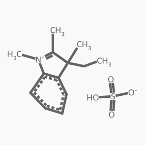 CCC1(C)C(C)=[N+](C)c2ccccc21.O=S(=O)([O-])O